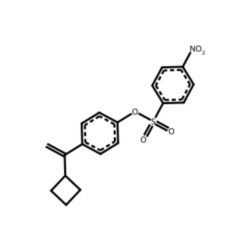 C=C(c1ccc(OS(=O)(=O)c2ccc([N+](=O)[O-])cc2)cc1)C1CCC1